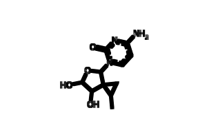 CC1CC12C(O)C(O)OC2n1ccc(N)nc1=O